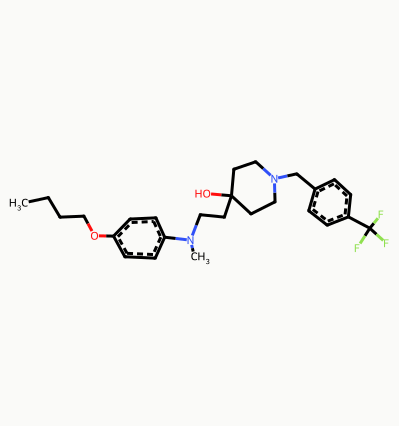 CCCCOc1ccc(N(C)CCC2(O)CCN(Cc3ccc(C(F)(F)F)cc3)CC2)cc1